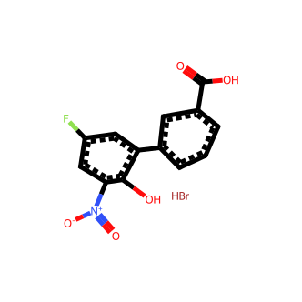 Br.O=C(O)c1cccc(-c2cc(F)cc([N+](=O)[O-])c2O)c1